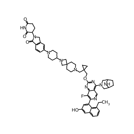 CCc1cccc2cc(O)cc(-c3ncc4c(N5CC6CCC(C5)N6)nc(OCC5(CN6CCC7(CC6)CN(C6CCN(c8ccc9c(c8)CN(C8CCC(=O)NC8=O)C9=O)CC6)C7)CC5)nc4c3F)c12